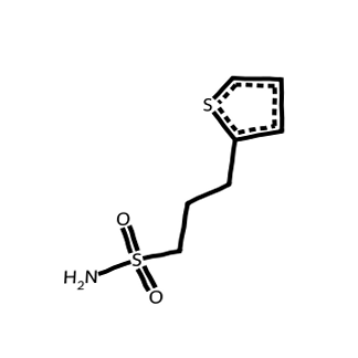 NS(=O)(=O)CCCc1cccs1